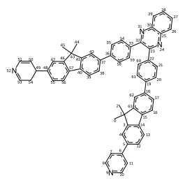 CC1(C)c2cc(-c3ccncc3)ccc2-c2ccc(-c3ccc(-c4nc5ccccc5nc4-c4ccc(-c5ccc6c(c5)C(C)(C)c5cc(C7C=CN=CC7)ccc5-6)cc4)cc3)cc21